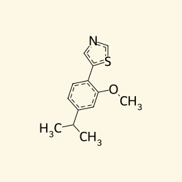 COc1cc(C(C)C)ccc1-c1cncs1